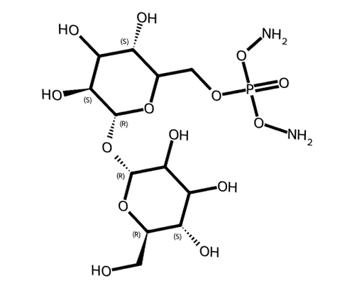 NOP(=O)(ON)OCC1O[C@H](O[C@H]2O[C@H](CO)[C@@H](O)C(O)C2O)[C@@H](O)C(O)[C@@H]1O